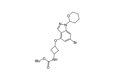 CC(C)(C)OC(=O)NC1CC(Oc2cc(Br)cc3c2cnn3C2CCCCO2)C1